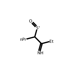 [CH2]CC(=N)C(CCC)[S+]=O